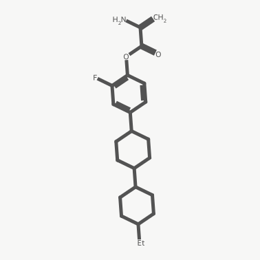 C=C(N)C(=O)Oc1ccc(C2CCC(C3CCC(CC)CC3)CC2)cc1F